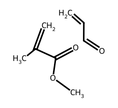 C=C(C)C(=O)OC.C=CC=O